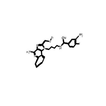 CCOCc1nc2c(N)nc3ccccc3c2n1CCCCNC(O)c1ccc(F)c(N)c1